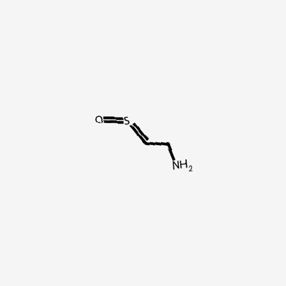 NCC=S=O